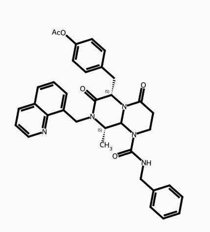 CC(=O)Oc1ccc(C[C@H]2C(=O)N(Cc3cccc4cccnc34)[C@@H](C)C3N(C(=O)NCc4ccccc4)CCC(=O)N32)cc1